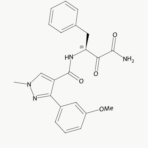 COc1cccc(-c2nn(C)cc2C(=O)N[C@@H](Cc2ccccc2)C(=O)C(N)=O)c1